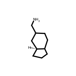 NC[C]1CCC2CCC[C@H]2C1